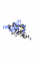 Cc1cn2c(C3=CN[C@H]3N)cnc2c(NC2CN=C(CN3CC(C)CC(C)C3)S2)n1